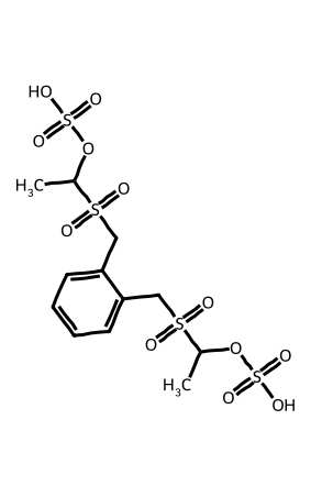 CC(OS(=O)(=O)O)S(=O)(=O)Cc1ccccc1CS(=O)(=O)C(C)OS(=O)(=O)O